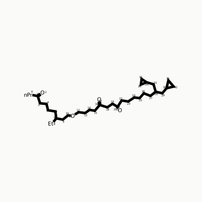 CCCC(=O)CCCCC(CC)CCOCCCCC(=O)CCC(=O)CCCCCCC(CC1CC1)CC1CC1